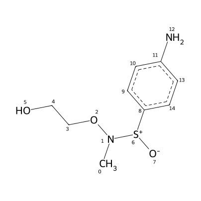 CN(OCCO)[S+]([O-])c1ccc(N)cc1